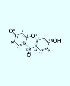 O=C1C=c2oc3cc(O)ccc3c(=O)c2=CC1